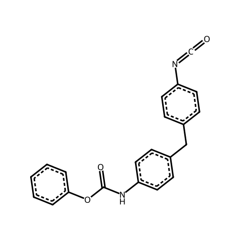 O=C=Nc1ccc(Cc2ccc(NC(=O)Oc3ccccc3)cc2)cc1